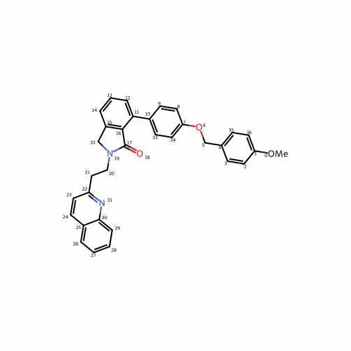 COc1ccc(COc2ccc(-c3cccc4c3C(=O)N(CCc3ccc5ccccc5n3)C4)cc2)cc1